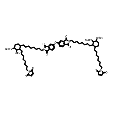 CCCCCCCCC1C(CCCCCC)CCC(CCCCCCCCN2C(=O)c3ccc(Oc4ccc5c(c4)C(=O)N(CCCCCCCCC4C(CCCCCCCCN6C(=O)C=CC6=O)CCC(CCCCCC)C4CCCCCCCC)C5=O)cc3C2=O)C1CCCCCCCCN1C(=O)C=CC1=O